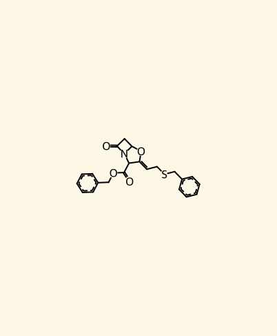 O=C(OCc1ccccc1)C1C(=CCSCc2ccccc2)OC2CC(=O)N21